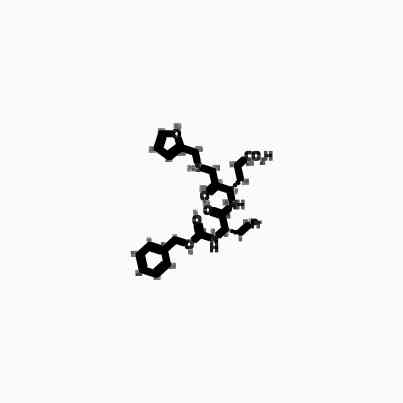 CC(C)C[C@H](NC(=O)OCc1ccccc1)C(=O)N[C@@H](CCC(=O)O)C(=O)CSCc1ccco1